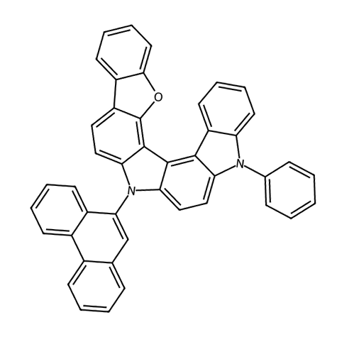 c1ccc(-n2c3ccccc3c3c4c5c6oc7ccccc7c6ccc5n(-c5cc6ccccc6c6ccccc56)c4ccc32)cc1